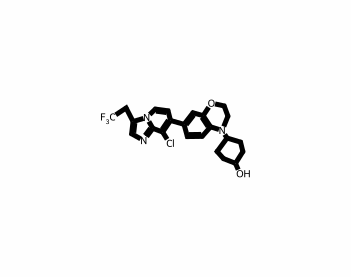 OC1CCC(N2CCOc3cc(-c4ccn5c(CC(F)(F)F)cnc5c4Cl)ccc32)CC1